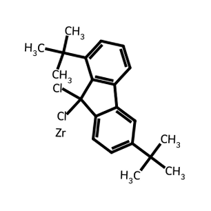 CC(C)(C)c1ccc2c(c1)-c1cccc(C(C)(C)C)c1C2(Cl)Cl.[Zr]